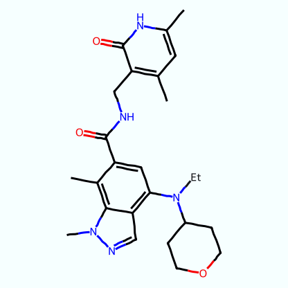 CCN(c1cc(C(=O)NCc2c(C)cc(C)[nH]c2=O)c(C)c2c1cnn2C)C1CCOCC1